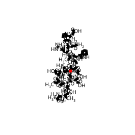 CC[C@H](C)[C@H](NC(=O)CNC(=O)[C@H](CO)NC(=O)[C@@H](NC(=O)[C@@H](N)[C@@H](C)O)C(C)C)C(=O)N[C@@H](CC(=O)O)C(=O)N[C@@H](CC(C)C)C(=O)N[C@@H](CO)C(=O)N[C@@H](CO)C(=O)N[C@@H](CC(=O)O)C(=O)N[C@@H](CO)C(=O)N[C@H](C(=O)NCC(=O)N[C@@H](Cc1c[nH]c2ccccc12)C(=O)N[C@H](C(=O)N[C@@H](CCCNC(=N)N)C(=O)N[C@@H](CCC(N)=O)C(=O)N[C@@H](C)C(=O)N1CCC[C@H]1C(=O)NCC(=O)O)C(C)C)[C@@H](C)CC